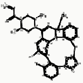 C=CC(=O)N1C[C@H](C)N(C2=NC3OC(C)c4cccc5c4N3c3nc(c(F)cc32)-c2c(F)cccc2-n2cc(nn2)C5)C[C@H]1C